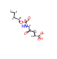 CCCCOC(=O)NCC(=O)CCC(=O)O